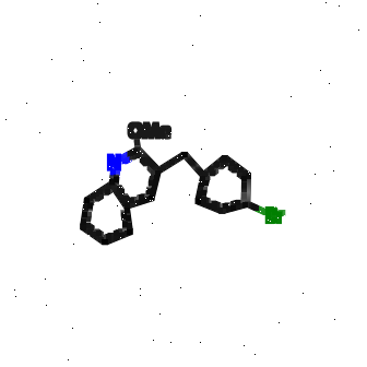 COc1nc2ccccc2cc1Cc1ccc(Br)cc1